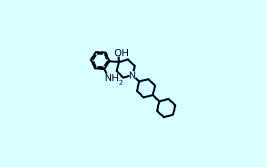 Nc1ccccc1C1(O)CCN(C2CCC(C3CCCCC3)CC2)CC1